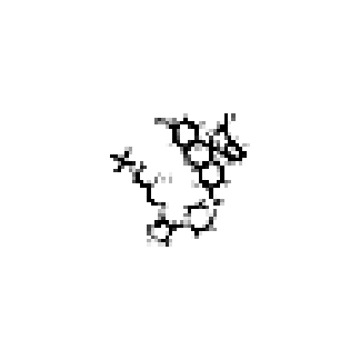 CC(C)(C)NC[C@H](O)COc1nsnc1N1CCOCC1.O=C1OC2(c3ccc(O)cc3Oc3cc(O)ccc32)c2ccccc21